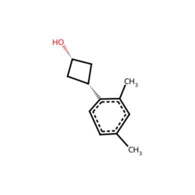 Cc1ccc([C@H]2C[C@@H](O)C2)c(C)c1